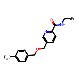 CC(C)CNC(=O)c1ccc(COCc2ccc(C(F)(F)F)cc2)cn1